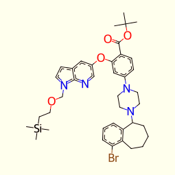 CC(C)(C)OC(=O)c1ccc(N2CCN(C3CCCCc4c(Br)cccc43)CC2)cc1Oc1cnc2c(ccn2COCC[Si](C)(C)C)c1